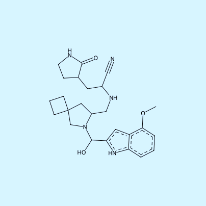 COc1cccc2[nH]c(C(O)N3CC4(CCC4)CC3CNC(C#N)CC3CCNC3=O)cc12